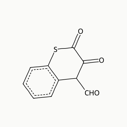 O=CC1C(=O)C(=O)Sc2ccccc21